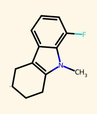 Cn1c2c(c3cccc(F)c31)C[CH]CC2